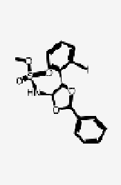 COS(=O)(=O)N[C@@H]1OC(c2ccccc2)O[C@@H]1c1ccccc1I